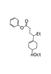 CCCCCCCCC1CC=C(C(CC)CCC(=O)Oc2ccccc2)CC1